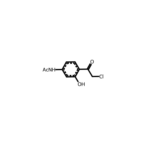 CC(=O)Nc1ccc(C(=O)CCl)c(O)c1